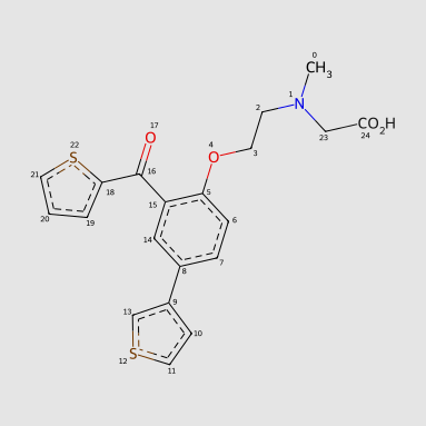 CN(CCOc1ccc(-c2ccsc2)cc1C(=O)c1cccs1)CC(=O)O